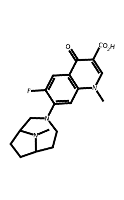 CN1C2CCC1CN(c1cc3c(cc1F)c(=O)c(C(=O)O)cn3C)CC2